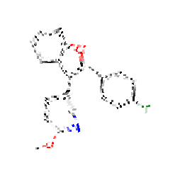 COc1ccc(-c2c(-c3ccc(F)cc3)oc3ccccc23)cn1